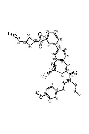 CCCN(CCc1ccc(OC)cc1)C(=O)C1=Cc2ccc(-c3cccc(S(=O)(=O)C4CC(CO)C4)c3)cc2N=C(N)C1